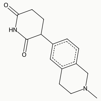 CN1CCc2cc(C3CCC(=O)NC3=O)ccc2C1